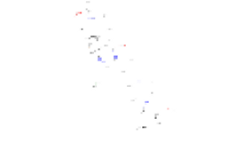 COc1ccccc1N1CCN(CCCn2cnc3sc4c(c3c2=O)CCN(C(C)=O)C4)CC1.Cl.Cl